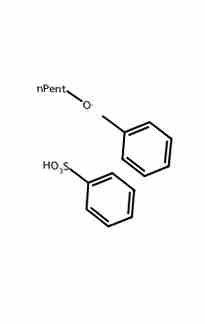 CCCCC[O].Cc1ccccc1.O=S(=O)(O)c1ccccc1